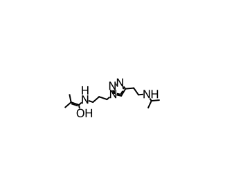 CC(C)=C(O)NCCCn1cc(CCNC(C)C)nn1